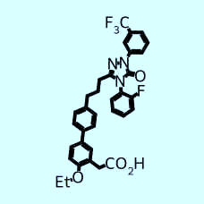 CCOc1ccc(-c2ccc(CCCc3nn(-c4cccc(C(F)(F)F)c4)c(=O)n3-c3ccccc3F)cc2)cc1CC(=O)O